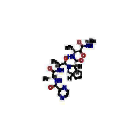 CCCC(NC(=O)[C@@H]1[C@H]2CC=C[C@H]2CN1C(=O)[C@@H](NC(=O)[C@H](NC(=O)c1cnccn1)C(C)C)C(C)C)C(=O)C(=O)N[C@@H](C)CC